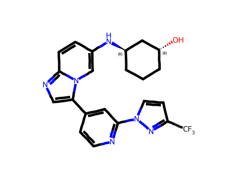 O[C@@H]1CCC[C@@H](Nc2ccc3ncc(-c4ccnc(-n5ccc(C(F)(F)F)n5)c4)n3c2)C1